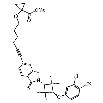 COC(=O)C1(OCCCCC#Cc2ccc3c(c2)CN([C@H]2C(C)(C)[C@H](Oc4ccc(C#N)c(Cl)c4)C2(C)C)C3=O)CC1